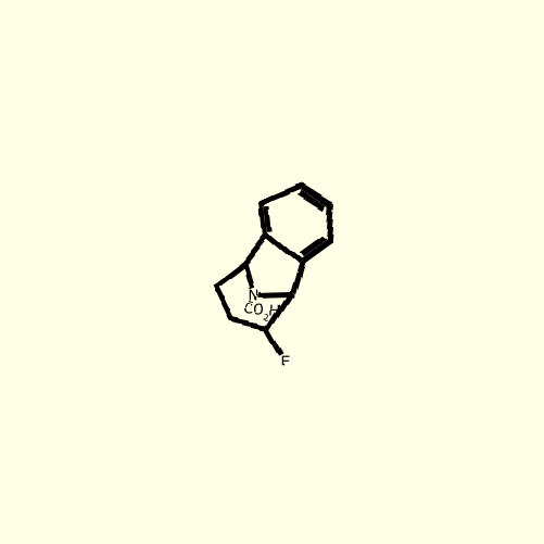 O=C(O)N1C2CCC(F)C1c1ccccc12